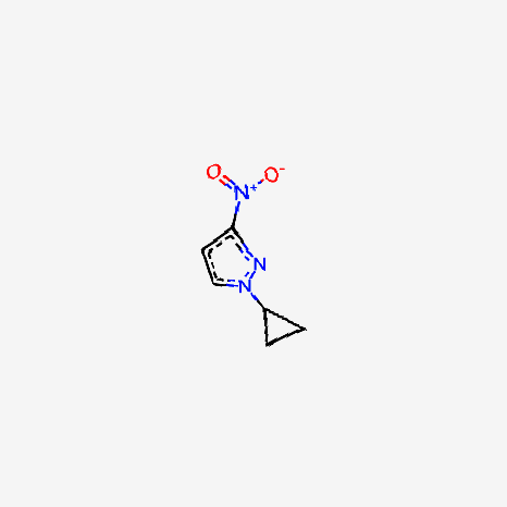 O=[N+]([O-])c1ccn(C2CC2)n1